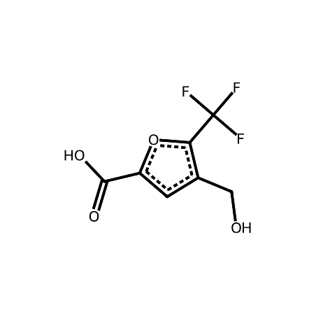 O=C(O)c1cc(CO)c(C(F)(F)F)o1